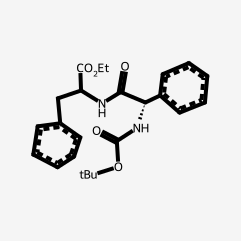 CCOC(=O)C(Cc1ccccc1)NC(=O)[C@@H](NC(=O)OC(C)(C)C)c1ccccc1